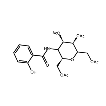 CC(=O)OCC1O[C@@H](COC(C)=O)C(NC(=O)c2ccccc2O)[C@@H](OC(C)=O)[C@H]1OC(C)=O